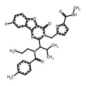 CNC(=O)c1ccc(Cn2c(C(C(C)C)N(CCN)C(=O)c3ccc(C)cc3)nc3c(oc4ccc(F)cc43)c2=O)s1